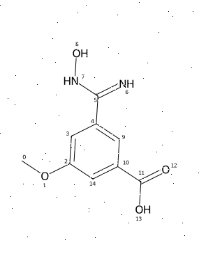 COc1cc(C(=N)NO)cc(C(=O)O)c1